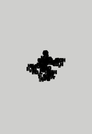 CC(C)C[C@H](N)C(=O)N[C@H](C(=O)N[C@@H](CS)C(=O)NCC(=O)N[C@@H](CCC(=O)O)C(=O)N[C@@H](CCCNC(=N)N)C(=O)NCC(=O)N[C@@H](Cc1ccccc1)C(=O)N[C@@H](Cc1ccccc1)C(=O)N[C@@H](Cc1ccc(O)cc1)C(=O)O)C(C)C